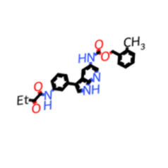 CCC(=O)C(=O)Nc1cccc(-c2c[nH]c3ncc(NC(=O)OCc4ccccc4C)cc23)c1